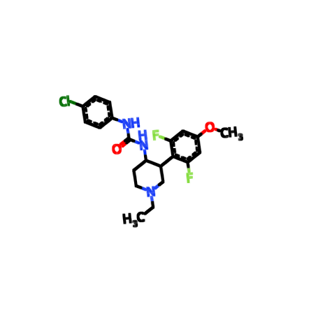 CCN1CCC(NC(=O)Nc2ccc(Cl)cc2)C(c2c(F)cc(OC)cc2F)C1